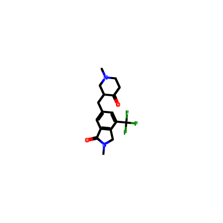 CN1CCC(=O)C(Cc2cc3c(c(C(F)(F)F)c2)CN(C)C3=O)C1